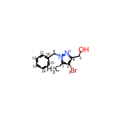 Cc1c(Br)c(CO)nn1Cc1ccccc1